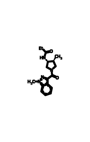 CCC(=O)N[C@H]1CN(C(=O)c2nn(C)c3ccccc23)C[C@H]1C